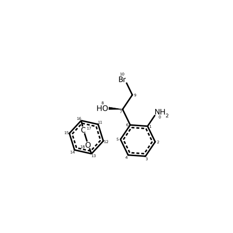 Nc1ccccc1[C@@H](O)CBr.c1cc2ccc1CO2